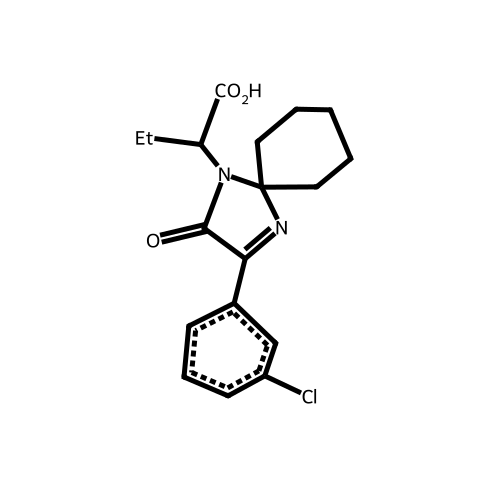 CCC(C(=O)O)N1C(=O)C(c2cccc(Cl)c2)=NC12CCCCC2